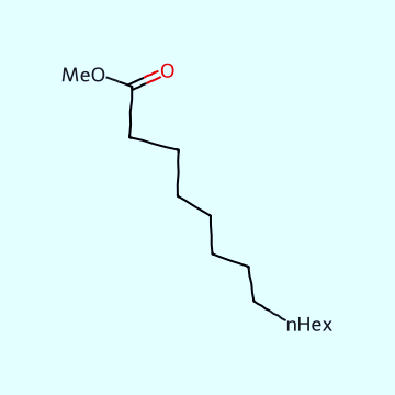 CCCCCCCCCCCCCC(=O)OC